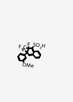 COc1cccc(C2(F)C=c3ccccc3=C(S(=O)(=O)O)C2(F)C(F)(F)F)c1